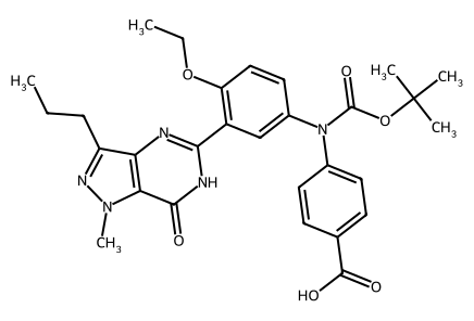 CCCc1nn(C)c2c(=O)[nH]c(-c3cc(N(C(=O)OC(C)(C)C)c4ccc(C(=O)O)cc4)ccc3OCC)nc12